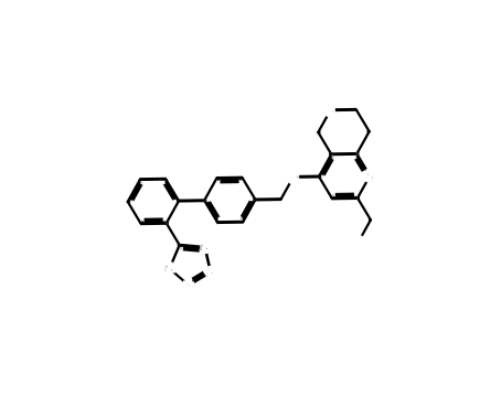 CCc1cc(OCc2ccc(-c3ccccc3-c3nnn[nH]3)cc2)c2c(n1)CCSC2.Cl